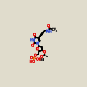 CCO[C@@H](C)OC1C[C@H](n2cc(C#CCNC(=O)C(F)(F)F)c(=O)[nH]c2=O)O[C@@H]1COP(=O)(O)O